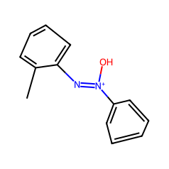 Cc1ccccc1N=[N+](O)c1ccccc1